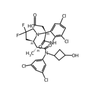 C[C@@H](C(=O)N(c1cc(Cl)cc(Cl)c1)C1CC(O)C1)[C@H]1CC(F)(F)CN1[C@@]1(CC(=O)O)C(=O)Nc2c(Cl)cc(Cl)cc21